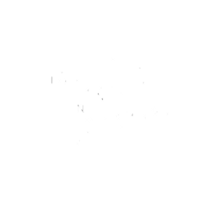 CCCn1c(CO)nc(C(C)C)c1Sc1cc(C)cc(C)c1